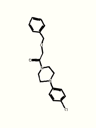 O=C(COCc1ccccc1)N1CCN(c2ccc(Cl)cc2)CC1